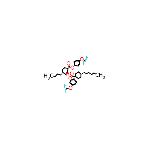 CCCCCC[C@H]1CC[C@@](C(=O)O)(c2ccc(OC(F)F)cc2)CC1.CCCC[C@H]1CC[C@H](C(=O)Oc2ccc(OC(F)F)cc2)CC1